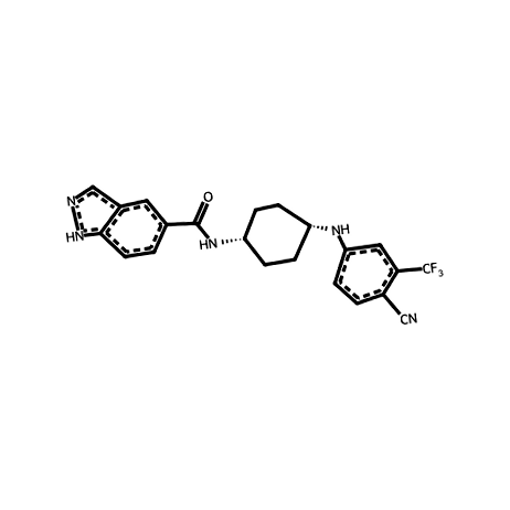 N#Cc1ccc(N[C@H]2CC[C@@H](NC(=O)c3ccc4[nH]ncc4c3)CC2)cc1C(F)(F)F